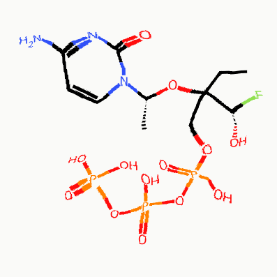 CCC(COP(=O)(O)OP(=O)(O)OP(=O)(O)O)(O[C@H](C)n1ccc(N)nc1=O)[C@@H](O)F